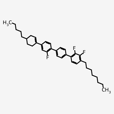 CCCCCCCCc1ccc(-c2ccc(-c3ccc(C4=CCC(CCCCC)CC4)cc3F)cc2)c(F)c1F